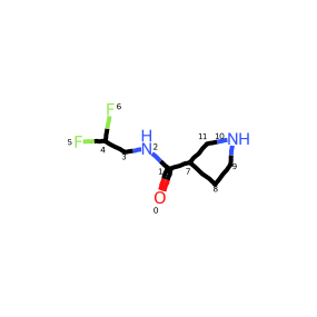 O=C(NCC(F)F)C1CCNC1